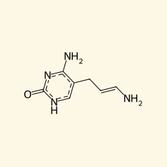 NC=CCc1c[nH]c(=O)nc1N